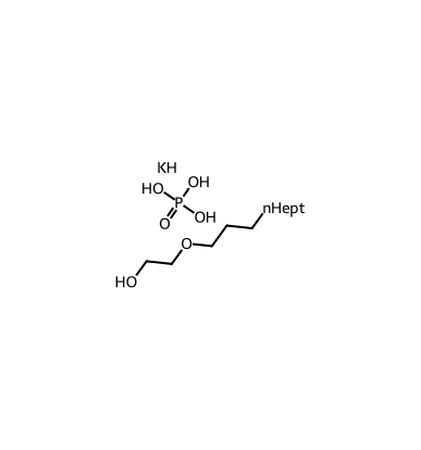 CCCCCCCCCCOCCO.O=P(O)(O)O.[KH]